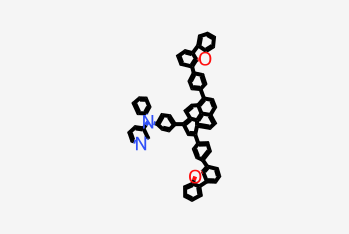 c1ccc(N(c2ccc(-c3cc(-c4ccc(-c5cccc6c5oc5ccccc56)cc4)c4ccc5ccc(-c6ccc(-c7cccc8c7oc7ccccc78)cc6)c6ccc3c4c56)cc2)c2cccnc2)cc1